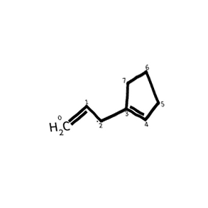 C=C[CH]C1=CCCC1